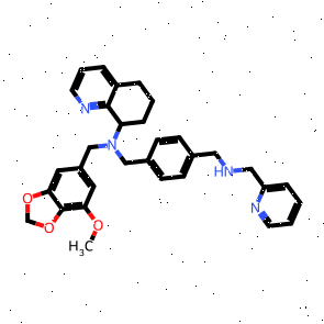 COc1cc(CN(Cc2ccc(CNCc3ccccn3)cc2)C2CCCc3cccnc32)cc2c1OCO2